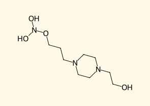 OCCN1CCN(CCCON(O)O)CC1